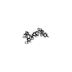 Cc1ccc(S(=O)(=O)OC2(C(=O)NCc3ccc(C(=O)N4Cc5cnn(C)c5Nc5cc(Cl)ccc54)cc3F)CC2)cc1